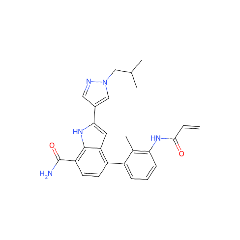 C=CC(=O)Nc1cccc(-c2ccc(C(N)=O)c3[nH]c(-c4cnn(CC(C)C)c4)cc23)c1C